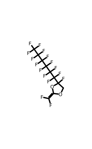 FC(F)=C1OCC(F)(C(F)(F)C(F)(F)C(F)(F)C(F)(F)C(F)(F)C(F)(F)F)O1